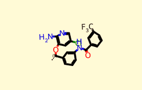 C[C@H](Oc1cc(Cl)cnc1N)c1cccc(NC(=O)c2cccc(C(F)(F)F)c2)c1